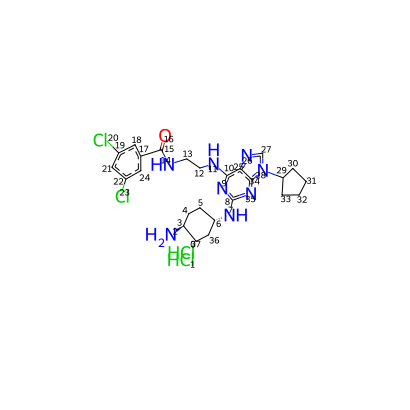 Cl.Cl.N[C@H]1CC[C@H](Nc2nc(NCCNC(=O)c3cc(Cl)cc(Cl)c3)c3ncn(C4CCCC4)c3n2)CC1